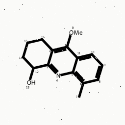 COc1c2c(nc3c(C)cccc13)C(O)CCC2